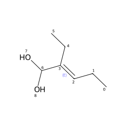 CC/C=C(\CC)C(O)O